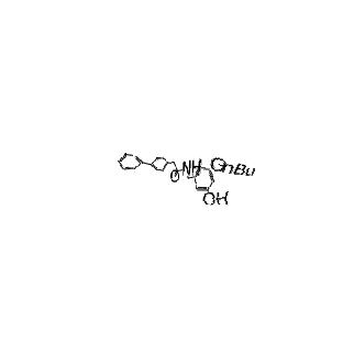 CCCCOc1cc(O)cc(CNC(=O)Cc2ccc(-c3ccccc3)cc2)c1